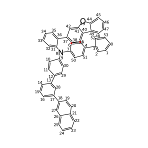 c1ccc(-c2ccc(N(c3ccc(-c4cccc(-c5ccc6ccccc6c5)c4)cc3)c3ccccc3-c3ccc4c(c3)oc3ccccc34)cc2)cc1